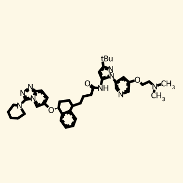 CN(C)CCOc1cncc(-n2nc(C(C)(C)C)cc2NC(=O)CCCC2CC[C@@H](Oc3ccc4nnc(N5CCCCC5)n4c3)c3ccccc32)c1